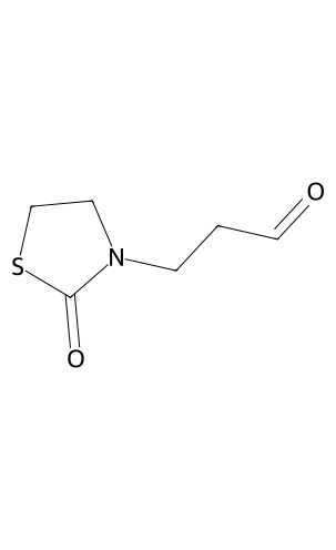 O=CCCN1CCSC1=O